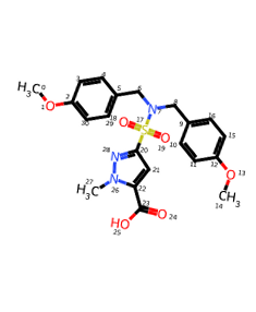 COc1ccc(CN(Cc2ccc(OC)cc2)S(=O)(=O)c2cc(C(=O)O)n(C)n2)cc1